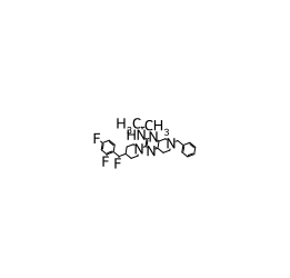 CC(C)Nc1nc2c(nc1N1CCC(C(F)c3ccc(F)cc3F)CC1)CCN(Cc1ccccc1)C2